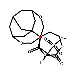 O=C1OCCC2(CO1)COC1CC3CC(CC(OC(=O)C(F)(F)S(=O)(=O)O)(C3)C1)OC2